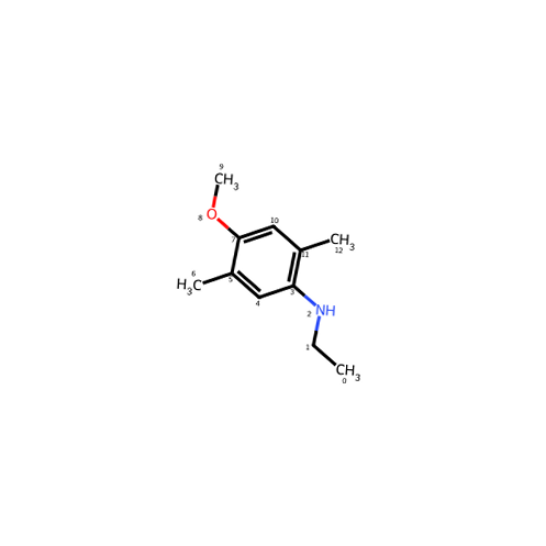 CCNc1cc(C)c(OC)cc1C